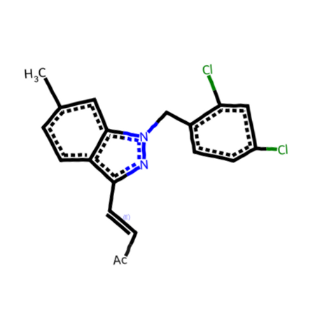 CC(=O)/C=C/c1nn(Cc2ccc(Cl)cc2Cl)c2cc(C)ccc12